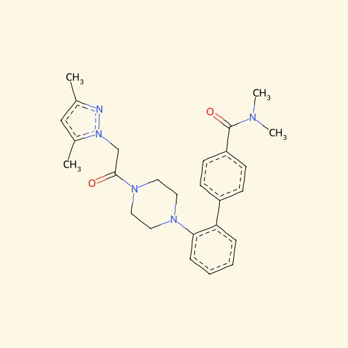 Cc1cc(C)n(CC(=O)N2CCN(c3ccccc3-c3ccc(C(=O)N(C)C)cc3)CC2)n1